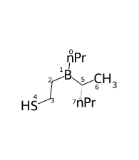 CCCB(CCS)[C@H](C)CCC